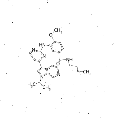 COc1ccc(C(=O)NCCSC)cc1Nc1nccc(-c2cn(C(C)C)c3cnccc23)n1